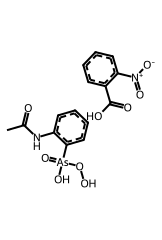 CC(=O)Nc1ccccc1[As](=O)(O)OO.O=C(O)c1ccccc1[N+](=O)[O-]